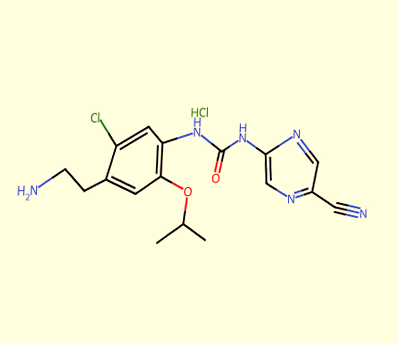 CC(C)Oc1cc(CCN)c(Cl)cc1NC(=O)Nc1cnc(C#N)cn1.Cl